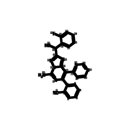 N#Cc1ccccc1-c1nc(N)n2nc(C(O)c3ccccc3F)nc2c1-c1ccncn1